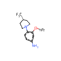 CCCOc1cc(N)ccc1N1CCC(C(F)(F)F)CC1